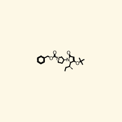 CC[C@H](C)[C@H]1C(OC(C)(C)C)=CC(=O)N1[C@H]1CCN(C(=O)OCc2ccccc2)C1